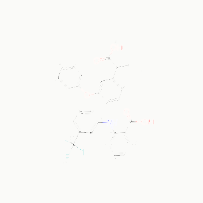 CC(C(=O)O)c1cccc(Oc2ccccc2)c1.O=C(O)c1ccccc1Nc1cccc(C(F)(F)F)c1